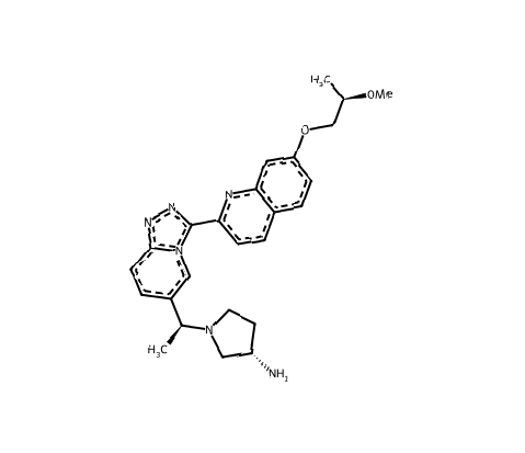 CO[C@H](C)COc1ccc2ccc(-c3nnc4ccc([C@H](C)N5CC[C@H](N)C5)cn34)nc2c1